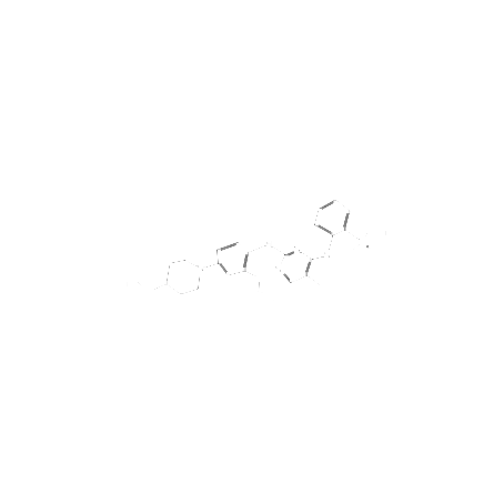 COc1cc(N2CCC(OC)CC2)ccc1Nc1ncc(Cl)c(Nc2ccccc2P(C)(C)=O)n1